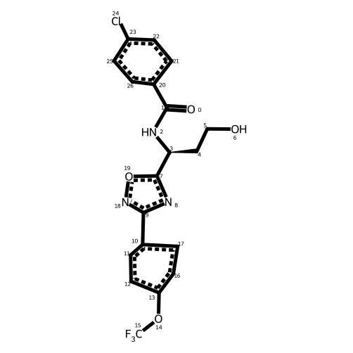 O=C(N[C@@H](CCO)c1nc(-c2ccc(OC(F)(F)F)cc2)no1)c1ccc(Cl)cc1